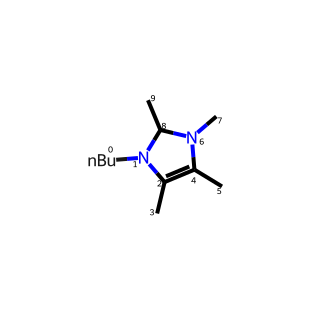 CCCCN1C(C)=C(C)N(C)C1C